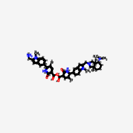 CCc1cc(C(=O)OC(=O)c2cc(CC)c(-c3ccc4c(c3)cc(CN3C[C@H]5CCC[C@@H](N(C)C)[C@H]5C3)n4C)[nH]c2=O)c(=O)[nH]c1-c1ccc2c(c1)cc(CN)n2C